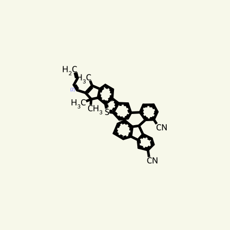 C=C/C=C\C1=C(C)c2ccc3c(sc4ccc(-c5cccc(C#N)c5C5c6ccccc6-c6cc(C#N)ccc65)cc43)c2C1(C)C